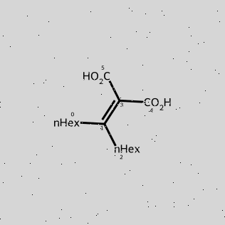 CCCCCCC(CCCCCC)=C(C(=O)O)C(=O)O